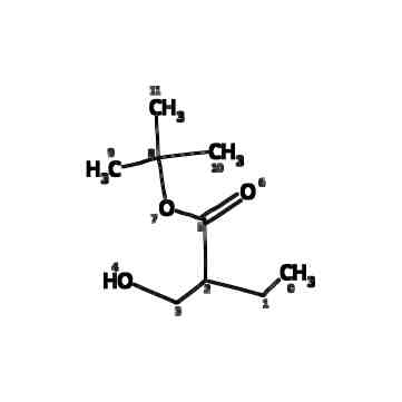 CCC(CO)C(=O)OC(C)(C)C